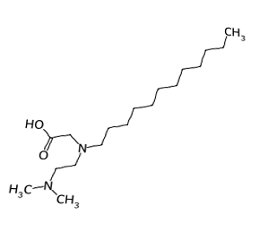 CCCCCCCCCCCCN(CCN(C)C)CC(=O)O